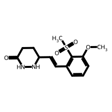 COc1cccc(/C=C/C2CCC(=O)NN2)c1S(C)(=O)=O